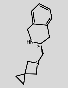 c1ccc2c(c1)CN[C@H](CN1CC3(CC3)C1)C2